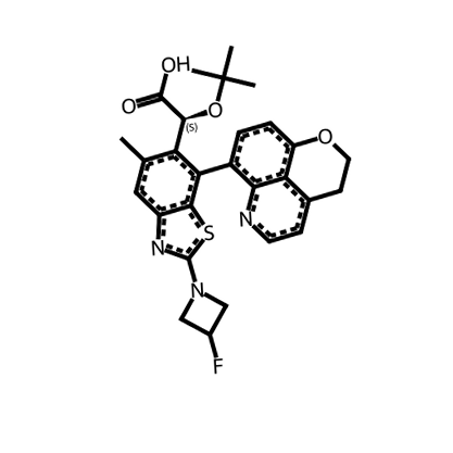 Cc1cc2nc(N3CC(F)C3)sc2c(-c2ccc3c4c(ccnc24)CCO3)c1[C@H](OC(C)(C)C)C(=O)O